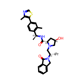 Cc1cc(-c2scnc2C)ccc1[C@H](C)NC(=O)[C@@H]1C[C@@H](O)CN1C[C@H](C(C)C)N1Cc2ccccc2C1=O